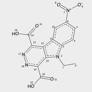 CCn1c2ccc([N+](=O)[O-])cc2c2c(C(=O)O)nnc(C(=O)O)c21